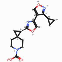 O=C(O)N1CCC2(CC1)C[C@H]2c1nc(-c2conc2C2CC2)co1